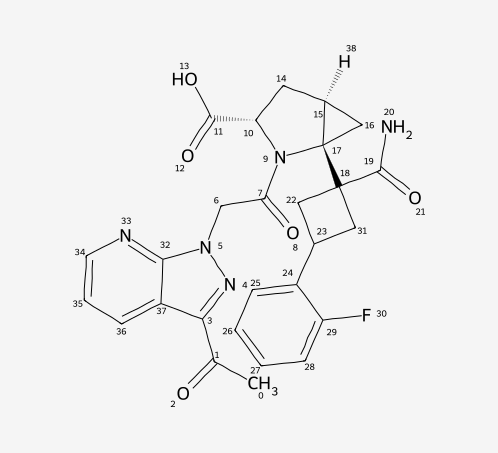 CC(=O)c1nn(CC(=O)N2[C@H](C(=O)O)C[C@H]3C[C@@]32C2(C(N)=O)CC(c3ccccc3F)C2)c2ncccc12